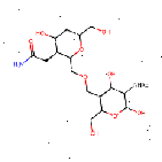 CC(=O)NC1C(O)OC(CO)C(COCC2OC(CO)CC(O)[C@@H]2CC(N)=O)C1O